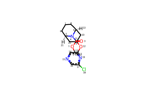 CC(C)(C)OC(=O)N1[C@@H]2CCC[C@H]1CC(Oc1cncc(Cl)n1)C2